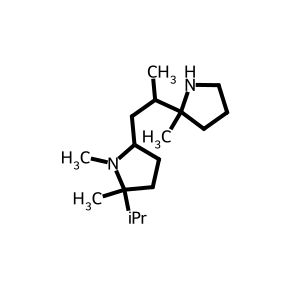 CC(CC1CCC(C)(C(C)C)N1C)C1(C)CCCN1